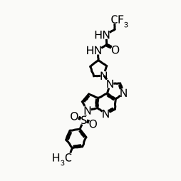 Cc1ccc(S(=O)(=O)n2ccc3c4c(cnc32)ncn4N2CCC(NC(=O)NCC(F)(F)F)C2)cc1